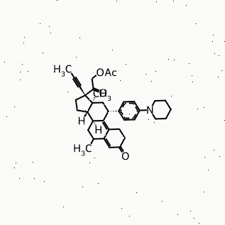 CC#C[C@]1(C(=O)COC(C)=O)CC[C@H]2[C@@H]3CC(C)C4=CC(=O)CCC4=C3[C@@H](c3ccc(N4CCCCC4)cc3)C[C@@]21C